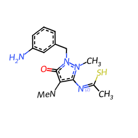 CNc1c(/N=C(/C)S)n(C)n(Cc2cccc(N)c2)c1=O